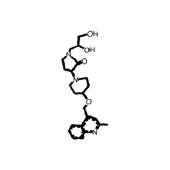 Cc1cc(COC2CCN(C3CCN(CC(O)CO)C3=O)CC2)c2ccccc2n1